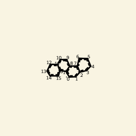 [c]1cc2ccccc2c2ccc3ccccc3c12